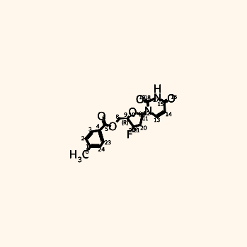 Cc1ccc(C(=O)OC[C@H]2O[C@@H](n3ccc(=O)[nH]c3=O)C[C@@H]2F)cc1